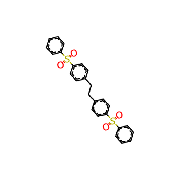 O=S(=O)(c1ccccc1)c1ccc(CCc2ccc(S(=O)(=O)c3ccccc3)cc2)cc1